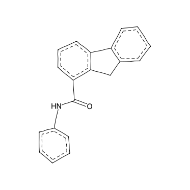 O=C(Nc1ccccc1)c1cccc2c1Cc1ccccc1-2